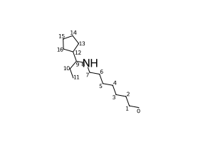 CCCCCCCCNC(CC)C1CCCC1